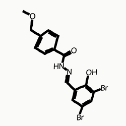 COCc1ccc(C(=O)N/N=C/c2cc(Br)cc(Br)c2O)cc1